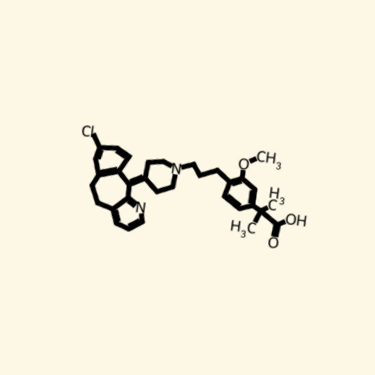 COc1cc(C(C)(C)C(=O)O)ccc1CCCN1CCC(=C2c3ccc(Cl)cc3CCc3cccnc32)CC1